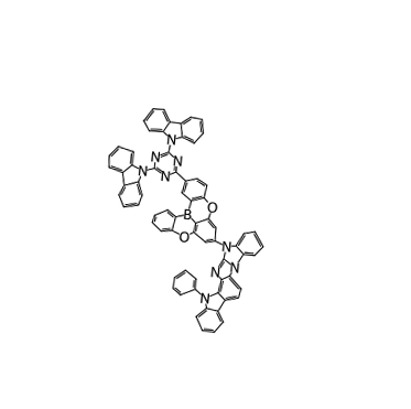 c1ccc(-n2c3ccccc3c3ccc4c(nc5n(-c6cc7c8c(c6)Oc6ccc(-c9nc(-n%10c%11ccccc%11c%11ccccc%11%10)nc(-n%10c%11ccccc%11c%11ccccc%11%10)n9)cc6B8c6ccccc6O7)c6ccccc6n45)c32)cc1